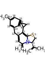 C=C(C)[C@@H]1CSC2=C(C3CC3)C(Cc3c#ccc(C)c3)=CC(=C)N21